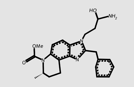 COC(=O)N1c2ccc3c(nc(Cc4ccccc4)n3CCC(N)O)c2CC[C@@H]1C